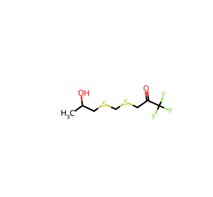 CC(O)CSCSCC(=O)C(F)(F)F